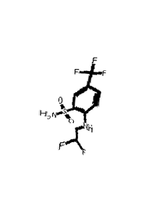 NS(=O)(=O)c1cc(C(F)(F)F)ccc1NCC(F)F